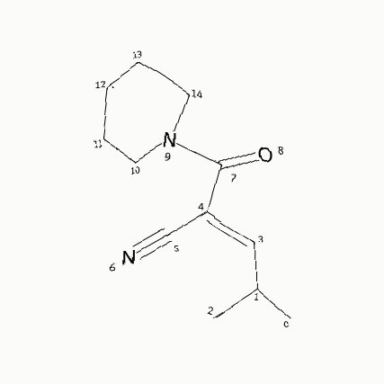 CC(C)/C=C(\C#N)C(=O)N1CC[CH]CC1